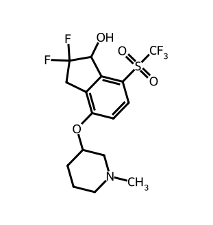 CN1CCCC(Oc2ccc(S(=O)(=O)C(F)(F)F)c3c2CC(F)(F)C3O)C1